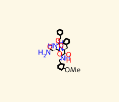 COc1cccc(CNC[C@@H](O)[C@H](Cc2ccccc2)NC(=O)[C@H](CC(N)=O)NC(=O)OCc2ccccc2)c1